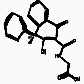 C[C@@]1(c2ccccc2)C(O)=C(C(=O)NCC(=O)O)C(=O)c2ccccc21